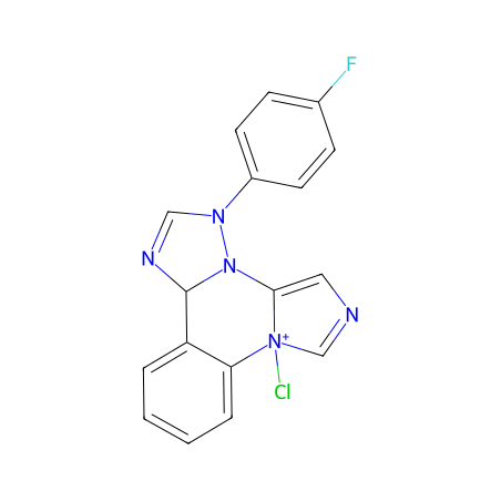 Fc1ccc(N2C=NC3c4ccccc4[N+]4(Cl)C=NC=C4N32)cc1